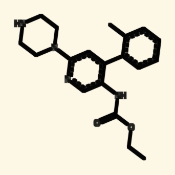 CCOC(=O)Nc1cnc(N2CCNCC2)cc1-c1ccccc1C